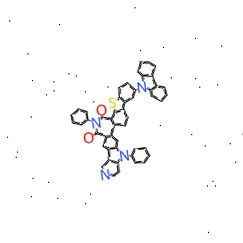 O=c1c2cc3c4cnccc4n(-c4ccccc4)c3cc2c2ccc3c4cc(-n5c6ccccc6c6ccccc65)ccc4sc3c2c(=O)n1-c1ccccc1